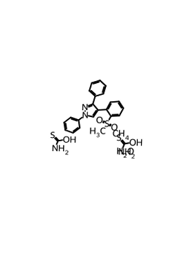 C.CS(=O)(=O)c1ccccc1-c1cn(-c2ccccc2)nc1-c1ccccc1.NC(O)=S.NC(O)=S.O